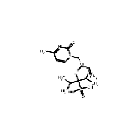 C=C[C@@H](Cn1ccc(N)nc1=O)OC(C(C)C)(C(C)C)P(=O)(O)O